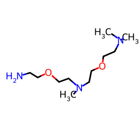 CN(C)CCOCCN(C)CCOCCN